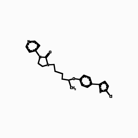 CC(CCCCN1CCN(c2ccncc2)C1=O)Oc1ccc(-c2ccc(Cl)s2)cc1